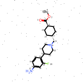 CC(C)(C)OC(=O)[C@H]1CC[C@H](CN2CCC(c3ccc(N)cc3F)CC2)CC1